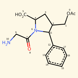 CC(=O)OCC1CC(C(=O)O)N(C(=O)CN)C1c1ccccc1